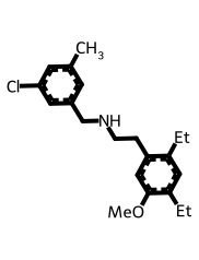 CCc1cc(CC)c(OC)cc1CCNCc1cc(C)cc(Cl)c1